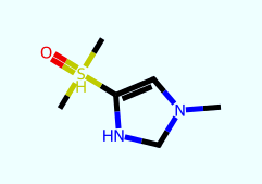 CN1C=C([SH](C)(C)=O)NC1